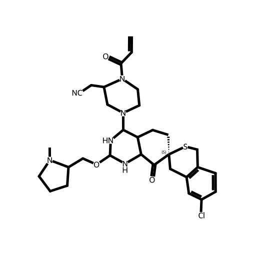 C=CC(=O)N1CCN(C2NC(OCC3CCCN3C)NC3C(=O)[C@]4(CCC32)Cc2cc(Cl)ccc2CS4)CC1CC#N